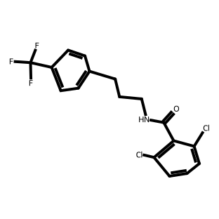 O=C(NCCCc1ccc(C(F)(F)F)cc1)c1c(Cl)cccc1Cl